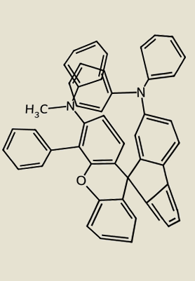 CN(c1ccccc1)c1ccc2c(c1-c1ccccc1)Oc1ccccc1C21c2ccccc2-c2ccc(N(c3ccccc3)c3ccccc3)cc21